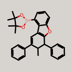 CC1C(c2ccccc2)=Cc2c(oc3cccc(B4OC(C)(C)C(C)(C)O4)c23)C1c1ccccc1